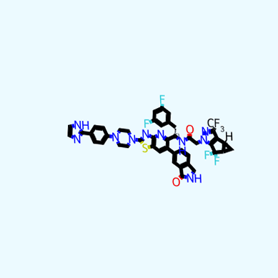 O=C(Cn1nc(C(F)(F)F)c2c1C(F)(F)C1C[C@H]21)N[C@@H](Cc1cc(F)cc(F)c1)c1nc2nc(N3CCN(c4ccc(-c5ncc[nH]5)cc4)CC3)sc2cc1-c1ccc2c(c1)C(=O)NC2